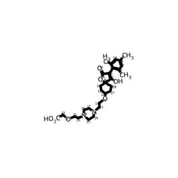 Cc1cc(C)c(C2=C(O)C3(CCC(OCCN4CCN(CCOCC(=O)O)CC4)CC3)OC2=O)c(C)c1